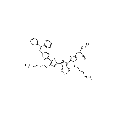 CCCCCCc1cc(-c2sc(-c3sc(/C=C(\C#N)OC=O)cc3CCCCCC)c3c2OCCO3)sc1-c1ccc(C=C(c2ccccc2)c2ccccc2)cc1